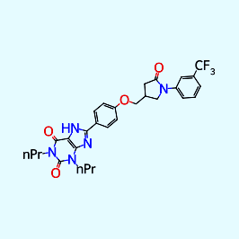 CCCn1c(=O)c2[nH]c(-c3ccc(OCC4CC(=O)N(c5cccc(C(F)(F)F)c5)C4)cc3)nc2n(CCC)c1=O